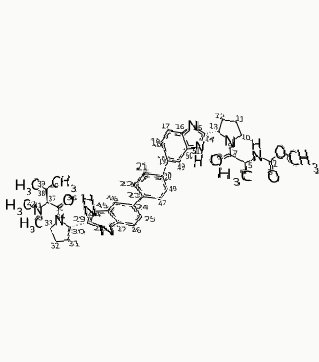 COC(=O)NC(C)C(=O)N1CCC[C@H]1c1nc2ccc(-c3ccc(-c4ccc5nc([C@@H]6CCCN6C(=O)[C@H](C(C)C)N(C)C)[nH]c5c4)cc3)cc2[nH]1